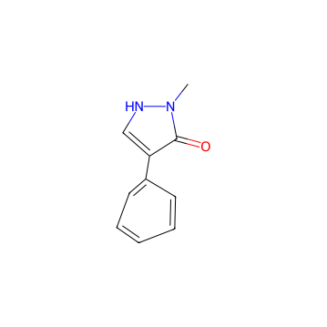 Cn1[nH]cc(-c2ccccc2)c1=O